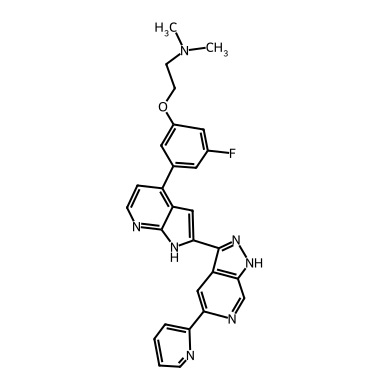 CN(C)CCOc1cc(F)cc(-c2ccnc3[nH]c(-c4n[nH]c5cnc(-c6ccccn6)cc45)cc23)c1